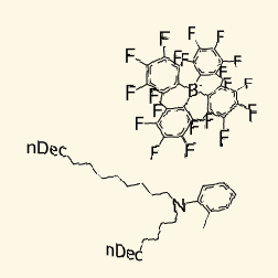 CCCCCCCCCCCCCCCCCCN(CCCCCCCCCCCCCC)c1ccccc1C.Fc1c(F)c(F)c([B-](c2c(F)c(F)c(F)c(F)c2F)(c2c(F)c(F)c(F)c(F)c2F)c2c(F)c(F)c(F)c(F)c2F)c(F)c1F